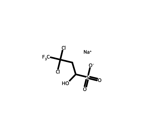 O=S(=O)([O-])C(O)CC(Cl)(Cl)C(F)(F)F.[Na+]